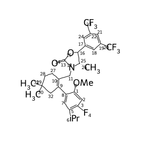 COc1cc(F)c(C(C)C)cc1C1=C(CN2C(=O)OC(c3cc(C(F)(F)F)cc(C(F)(F)F)c3)[C@@H]2C)CCC(C)(C)C1